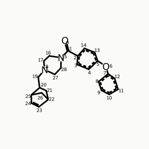 O=C(c1ccc(Oc2ccccc2)cc1)N1CCN(CC2CC3C=CC2C3)CC1